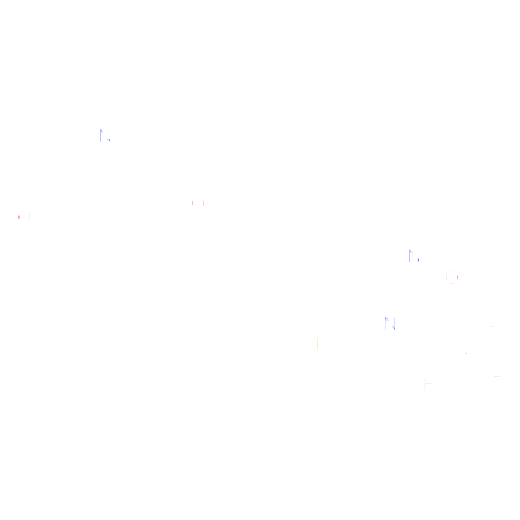 Fc1cc(COc2cnc3c(c2)COC3)ccc1-c1noc(C(F)(F)F)n1